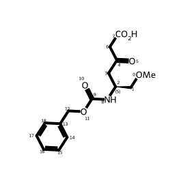 COC[C@H](CC(=O)CC(=O)O)NC(=O)OCc1ccccc1